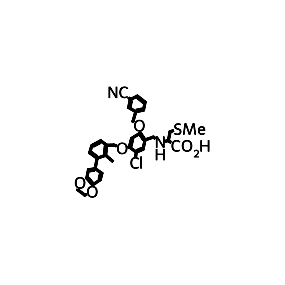 CSCC(NCc1cc(Cl)c(OCc2cccc(-c3ccc4c(c3)OCCO4)c2C)cc1OCc1cccc(C#N)c1)C(=O)O